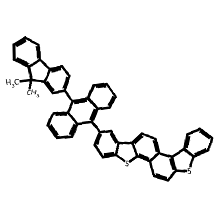 CC1(C)c2ccccc2-c2ccc(-c3c4ccccc4c(-c4ccc5sc6c(ccc7c6ccc6sc8ccccc8c67)c5c4)c4ccccc34)cc21